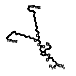 CC/C=C\CC1C(CC(=O)OCC(COCCCCCCCC/C=C\C/C=C\CCCCC)OCCCCCCCC/C=C\C/C=C\CCCCC)CCC1OC(=O)CCCN(C)C